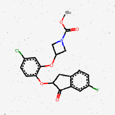 CC(C)(C)OC(=O)N1CC(Oc2cc(Cl)ccc2OC2Cc3ccc(F)cc3C2=O)C1